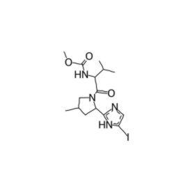 COC(=O)NC(C(=O)N1CC(C)CC1c1ncc(I)[nH]1)C(C)C